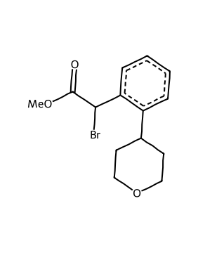 COC(=O)C(Br)c1ccccc1C1CCOCC1